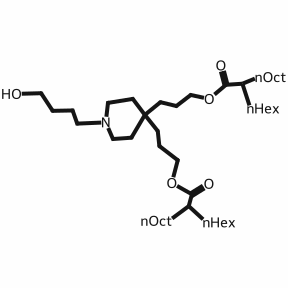 CCCCCCCCC(CCCCCC)C(=O)OCCCC1(CCCOC(=O)C(CCCCCC)CCCCCCCC)CCN(CCCCO)CC1